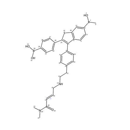 CB(O)c1ccc2c(-c3ccc(CCNC/C=C/C(=O)N(C)C)cc3)c(-c3ccc(B(O)O)cc3)sc2c1